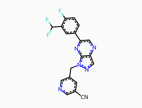 N#Cc1cncc(Cn2ncc3ncc(-c4ccc(F)c(C(F)F)c4)nc32)c1